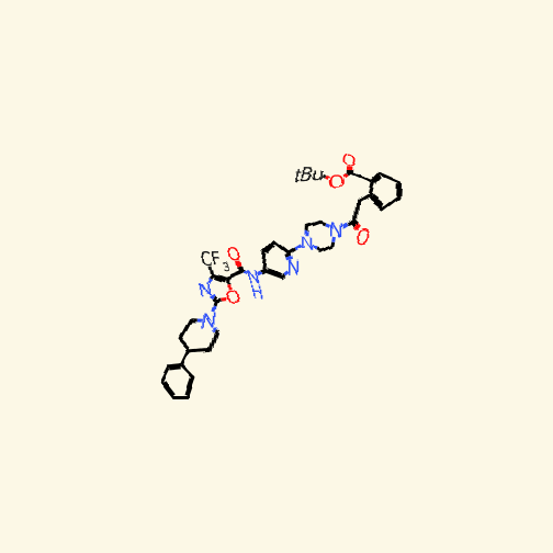 CC(C)(C)OC(=O)c1ccccc1CC(=O)N1CCN(c2ccc(NC(=O)c3oc(N4CCC(c5ccccc5)CC4)nc3C(F)(F)F)cn2)CC1